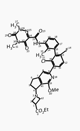 CCOC(=O)C1CN(C2CCc3cc(-c4ccc(F)c(-c5cccc(NC(=O)c6nn(C)c(=O)n(C)c6=O)c5C)c4Cl)nc(OC)c32)C1